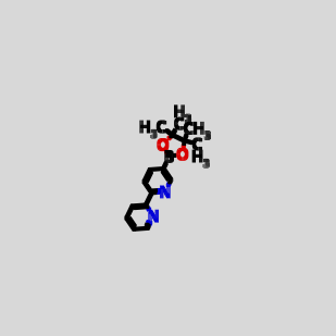 CC1(C)OB(c2ccc(-c3ccccn3)nc2)OC1(C)C